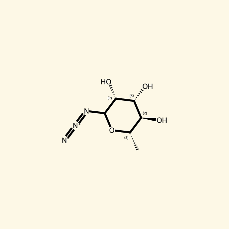 C[C@@H]1OC(N=[N+]=[N-])[C@H](O)[C@H](O)[C@H]1O